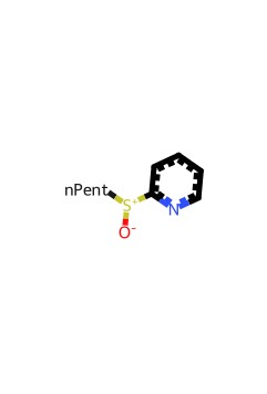 CCCCC[S+]([O-])c1ccccn1